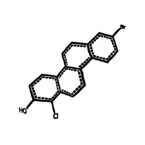 Oc1ccc2c(ccc3c4ccc(Br)cc4ccc23)c1Cl